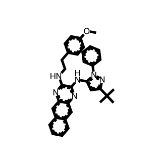 COc1ccc(CCNc2nc3cc4ccccc4cc3nc2Nc2cc(C(C)(C)C)nn2-c2ccccc2)cc1